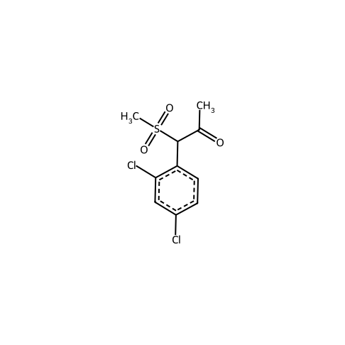 CC(=O)C(c1ccc(Cl)cc1Cl)S(C)(=O)=O